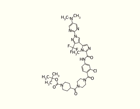 CN(C)c1cnc(-n2cc(-c3cnc(C(=O)Nc4ccc(C(=O)N5CCN(C(=O)C6CCN(C(=O)OC(C)(C)C)CC6)CC5)c(Cl)c4)n3C)c(C(F)(F)F)n2)nc1